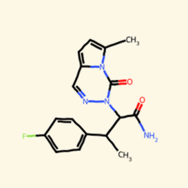 Cc1ccc2cnn(C(C(N)=O)C(C)c3ccc(F)cc3)c(=O)n12